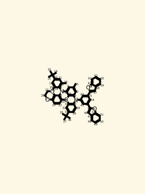 Cc1cc2c3c(c1)N(c1c(C)cc(C(C)(C)C)cc1C)c1c(ccc4c1OCCO4)B3c1cc(C(C)(C)C)ccc1N2c1cc(-c2cc3ccccc3o2)cc(-c2cc3ccccc3o2)c1